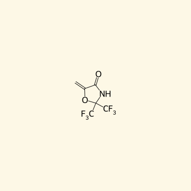 C=C1OC(C(F)(F)F)(C(F)(F)F)NC1=O